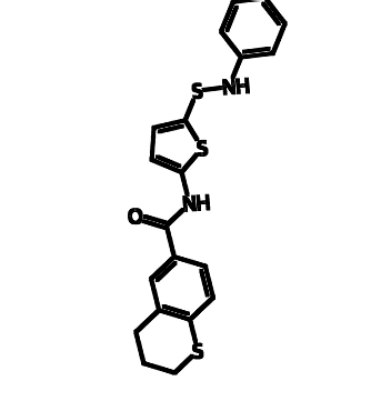 O=C(Nc1ccc(SNc2ccccc2)s1)c1ccc2c(c1)CCCS2